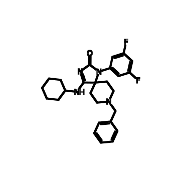 O=C1N=C(NC2CCCCC2)C2(CCN(Cc3ccccc3)CC2)N1c1cc(F)cc(F)c1